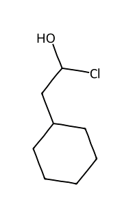 OC(Cl)CC1CCCCC1